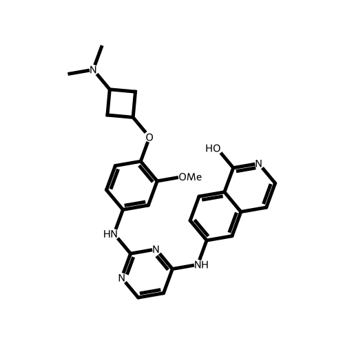 COc1cc(Nc2nccc(Nc3ccc4c(O)nccc4c3)n2)ccc1OC1CC(N(C)C)C1